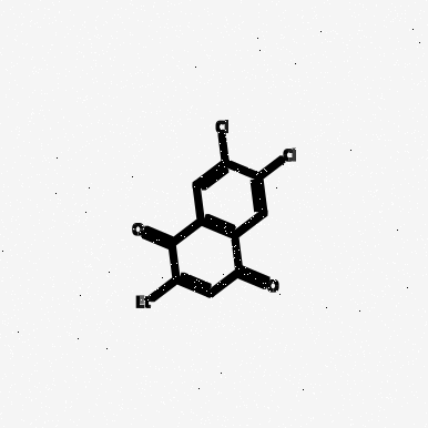 CCC1=CC(=O)c2cc(Cl)c(Cl)cc2C1=O